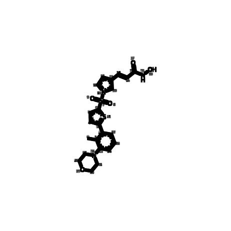 Cc1c(-c2ccc(S(=O)(=O)n3ccc(C=CC(=O)NO)c3)s2)cccc1N1CCOCC1